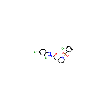 O=C(CC1CCCN(S(=O)(=O)c2ccccc2Cl)C1)NNc1ccc(Cl)cc1Cl